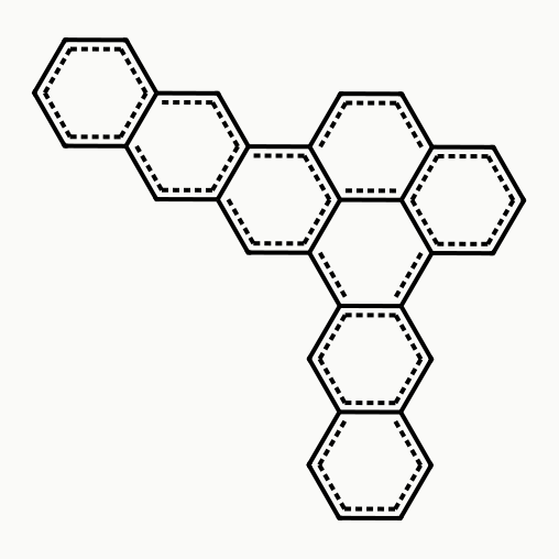 c1ccc2cc3c(cc2c1)cc1c2cc4ccccc4cc2c2cccc4ccc3c1c42